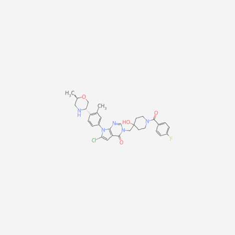 Cc1cc(-n2c(Cl)cc3c(=O)n(CC4(O)CCN(C(=O)c5ccc(F)cc5)CC4)cnc32)ccc1[C@H]1CO[C@H](C)CN1